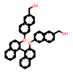 OCc1ccc2cc(Oc3ccc4ccccc4c3-c3c(Oc4ccc5cc(CO)ccc5c4)ccc4ccccc34)ccc2c1